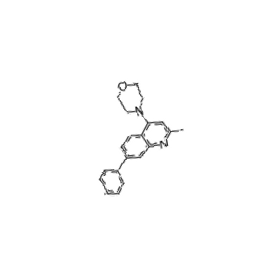 Cc1cc(N2CCOCC2)c2ccc(-c3cc[c]cc3)cc2n1